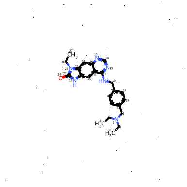 CCN(CC)Cc1ccc(CNc2ncnc3cc4c(cc23)[nH]c(=O)n4CC)cc1